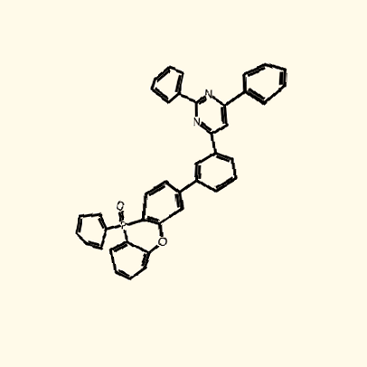 O=P1(c2ccccc2)c2ccccc2Oc2cc(-c3cccc(-c4cc(-c5ccccc5)nc(-c5ccccc5)n4)c3)ccc21